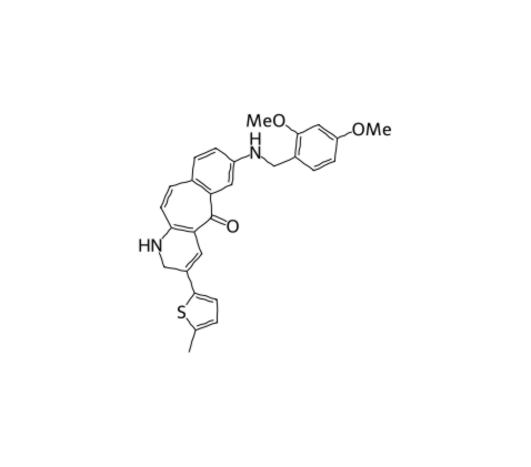 COc1ccc(CNc2ccc3ccc4c(c(=O)c3c2)C=C(c2ccc(C)s2)CN4)c(OC)c1